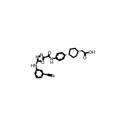 N#Cc1cccc(Nc2nnc(C(=O)Nc3ccc([C@H]4CC[C@H](CC(=O)O)CC4)cc3)o2)c1